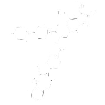 Cc1cc(C[C@@H](OC(=O)N2CCC(N3CCc4ccccc4NC3=O)CC2)C(=O)N2CCC(N3CCCCC3)CC2)cc2oc(=O)n(C)c12